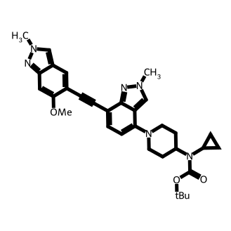 COc1cc2nn(C)cc2cc1C#Cc1ccc(N2CCC(N(C(=O)OC(C)(C)C)C3CC3)CC2)c2cn(C)nc12